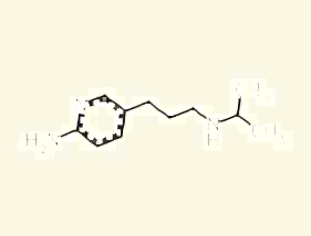 CC(C)NCCCc1ccc(N)nc1